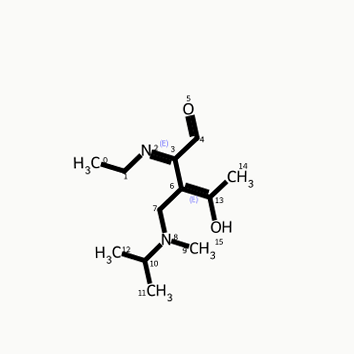 CC/N=C(C=O)\C(CN(C)C(C)C)=C(/C)O